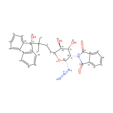 CC(C)(CCC1O[C@@H](N=[N+]=[N-])[C@@H](N2C(=O)c3ccccc3C2=O)C(O)[C@@H]1O)[Si](O)(c1ccccc1)c1ccccc1